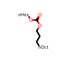 CCCCCCCCCCCOC(=O)OCCCCCC